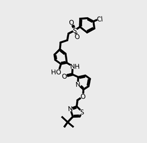 CC(C)(C)c1csc(COc2cccc(C(=O)Nc3cc(CCCS(=O)(=O)c4ccc(Cl)cc4)ccc3O)n2)n1